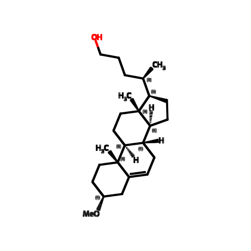 CO[C@H]1CC[C@@]2(C)C(=CC[C@H]3[C@@H]4CC[C@H]([C@H](C)CCCO)[C@@]4(C)CC[C@@H]32)C1